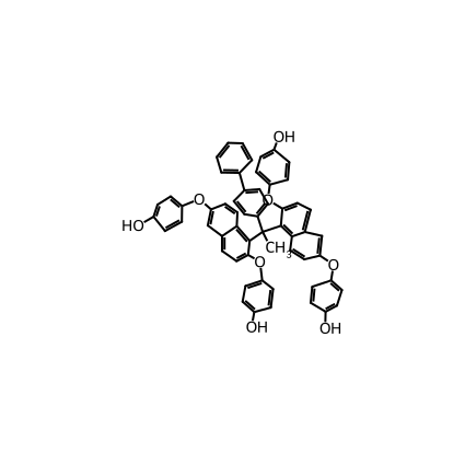 CC(c1ccc(-c2ccccc2)cc1)(c1c(Oc2ccc(O)cc2)ccc2cc(Oc3ccc(O)cc3)ccc12)c1c(Oc2ccc(O)cc2)ccc2cc(Oc3ccc(O)cc3)ccc12